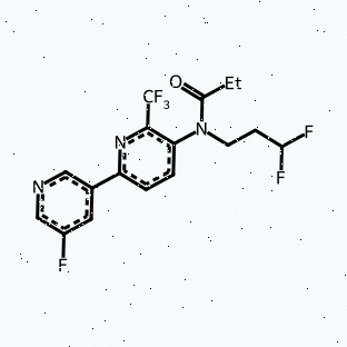 CCC(=O)N(CCC(F)F)c1ccc(-c2cncc(F)c2)nc1C(F)(F)F